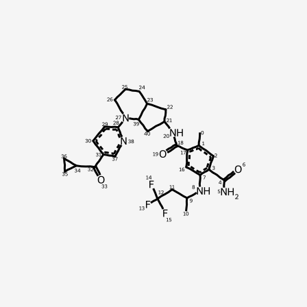 Cc1cc(C(N)=O)c(NC(C)CC(F)(F)F)cc1C(=O)NC1CC2CCCN(c3ccc(C(=O)C4CC4)cn3)C2C1